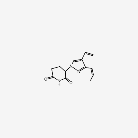 C=Cc1cn(C2CCC(=O)NC2=O)nc1/C=C\C